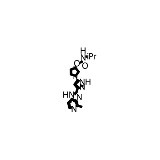 Cc1nccc2[nH]c(-c3cc([C@H]4CC[C@@H](OC(=O)NC(C)C)C4)[nH]n3)nc12